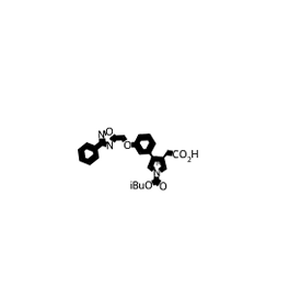 CC(C)COC(=O)N1C[C@H](CC(=O)O)[C@H](c2cccc(OCc3nc(-c4ccccc4)no3)c2)C1